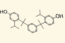 CC(C)c1cc(O)ccc1C(C)(C)c1cccc(C(C)(C)c2ccc(O)cc2C(C)C)c1